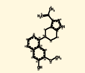 C=C(C)c1n[nH]c2c1CN(c1ncnc3cc(O)c(OC)cc13)CC2